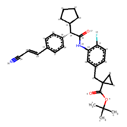 CC(C)(C)OC(=O)C1(Cc2ccc(F)c(NC(=O)[C@H](c3ccc(/C=C/C#N)cc3)C3CCCC3)c2)CC1